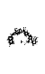 NCc1cc(-c2ccc(C(=O)N3CCN(S(=O)(=O)CC=Cc4ccc5cc(Cl)ccc5c4)CC3)cc2)ccc1-c1cccc[n+]1[O-]